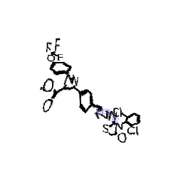 COC(=O)C1CC(c2ccc(/C=N/N=C3\SCC(=O)N3c3c(Cl)cccc3Cl)cc2)=NN1c1ccc(OC(F)(F)F)cc1